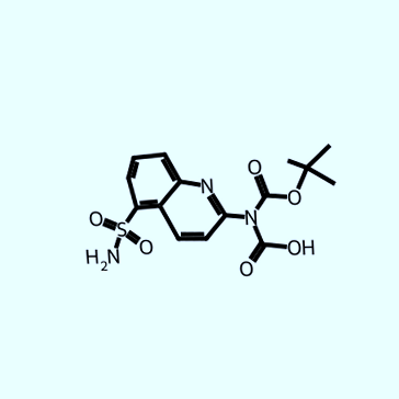 CC(C)(C)OC(=O)N(C(=O)O)c1ccc2c(S(N)(=O)=O)cccc2n1